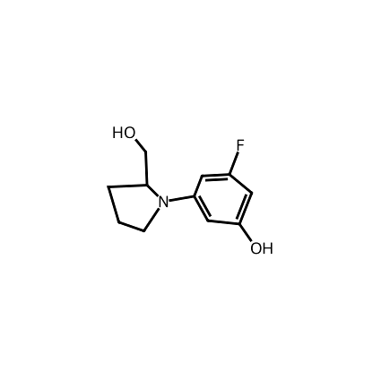 OCC1CCCN1c1cc(O)cc(F)c1